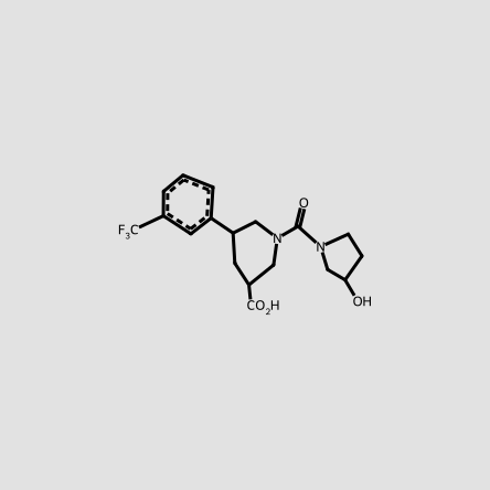 O=C(O)C1CC(c2cccc(C(F)(F)F)c2)CN(C(=O)N2CCC(O)C2)C1